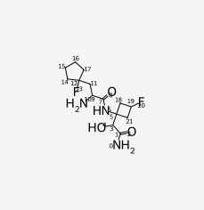 NC(=O)C(O)C1(NC(=O)C(N)CC2(F)CCCC2)CC(F)C1